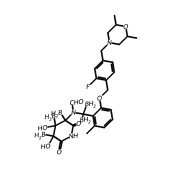 BC(B)(c1c(C)cccc1OCc1ccc(CN2CC(C)OC(C)C2)cc1F)N(C=O)C1(B)C(=O)NC(=O)C(B)(O)C1(B)O